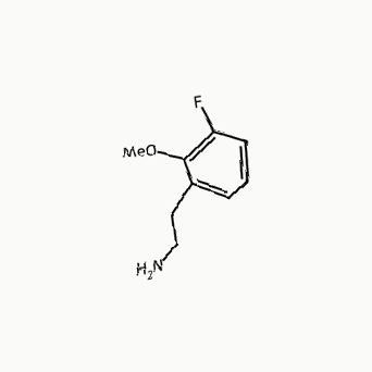 COc1c(F)cccc1CCN